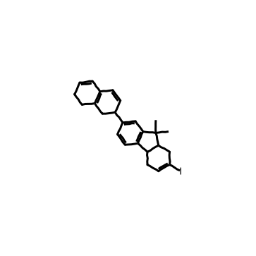 CC1(C)c2cc(C3C=CC4=C(CCC=C4)C3)ccc2C2CC=C(I)CC21